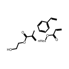 C=C(C)C(=O)OCCO.C=CC(=O)OCCCCCC.C=Cc1ccccc1